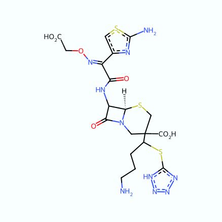 NCCCC(Sc1nnn[nH]1)C1(C(=O)O)CS[C@@H]2C(NC(=O)C(=NOCC(=O)O)c3csc(N)n3)C(=O)N2C1